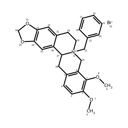 COc1ccc2c(c1OC)C[N+]1(Cc3ccccc3)CCc3cc4c(cc3C1C2)OCO4.[Br-]